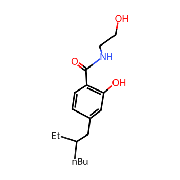 CCCCC(CC)Cc1ccc(C(=O)NCCO)c(O)c1